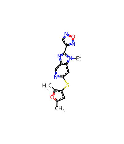 CCn1c(-c2cnon2)nc2cnc(Sc3cc(C)oc3C)cc21